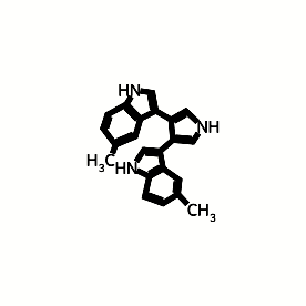 Cc1ccc2[nH]cc(-c3c[nH]cc3-c3c[nH]c4ccc(C)cc34)c2c1